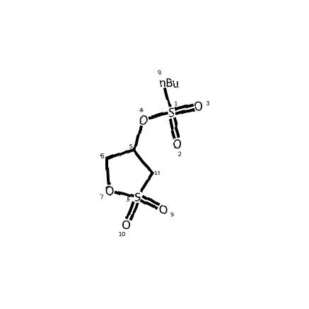 CCCCS(=O)(=O)OC1COS(=O)(=O)C1